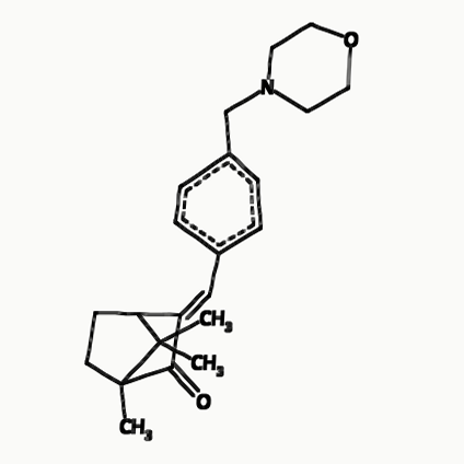 CC12CCC(/C(=C\c3ccc(CN4CCOCC4)cc3)C1=O)C2(C)C